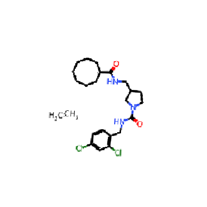 O=C(NCC1CCN(C(=O)NCc2ccc(Cl)cc2Cl)C1)[C]1CCCCCCC1.[CH2].[CH2]